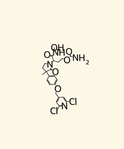 CC1(c2ccc(OCc3cc(Cl)nc(Cl)c3)cc2)CCN(C(CCOC(N)=O)C(=O)NO)C1=O